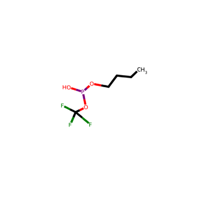 CCCCOP(O)OC(F)(F)F